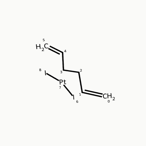 C=CCCC=C.[I][Pt][I]